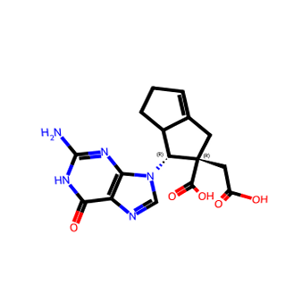 Nc1nc2c(ncn2[C@@H]2C3CCC=C3C[C@]2(CC(=O)O)C(=O)O)c(=O)[nH]1